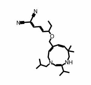 CCC(/C=C/C=C(C#N)C#N)OCC1=C/CN(CC(C)C)/C=C(/C(C)C)NCC(C)(C)/C=C\1